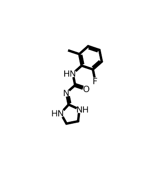 Cc1cccc(F)c1NC(=O)N=C1NCCN1